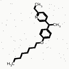 CCCCCCCCOc1ccc(C(C)c2ccc(CC)nc2)cc1